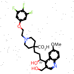 COc1ccc2ncc(CO)c([C@@H](O)CCC3(C(=O)O)CCN(CCOc4cc(F)c(F)c(F)c4)CC3)c2c1